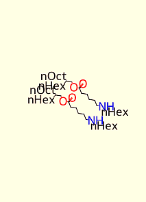 CCCCCCCCC(CCCCCC)COC(=O)CCCCCNCCCCCC.CCCCCCCCC(CCCCCC)COC(=O)CCCCCNCCCCCC